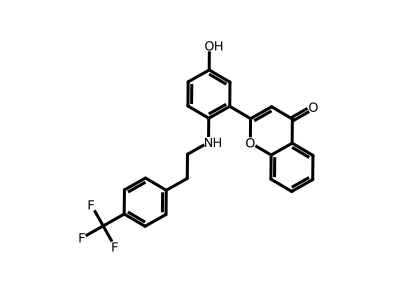 O=c1cc(-c2cc(O)ccc2NCCc2ccc(C(F)(F)F)cc2)oc2ccccc12